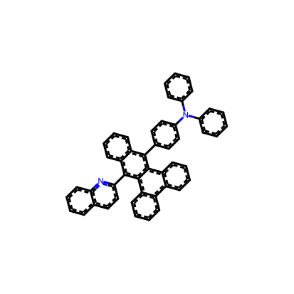 c1ccc(N(c2ccccc2)c2ccc(-c3c4ccccc4c(-c4ccc5ccccc5n4)c4c5ccccc5c5ccccc5c34)cc2)cc1